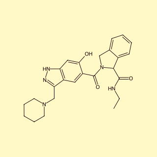 CCNC(=O)C1c2ccccc2CN1C(=O)c1cc2c(CN3CCCCC3)n[nH]c2cc1O